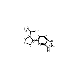 NC(=O)C1CCCN1c1ccc2cc[nH]c2n1